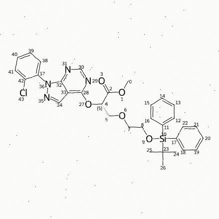 COC(=O)[C@H](COCCO[Si](c1ccccc1)(c1ccccc1)C(C)(C)C)Oc1ncnc2c1cnn2-c1ccccc1Cl